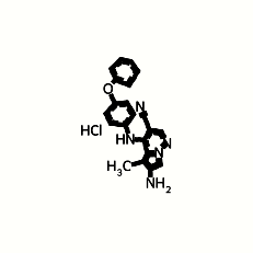 Cc1c(N)cn2ncc(C#N)c(Nc3ccc(Oc4ccccc4)cc3)c12.Cl